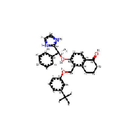 CC(C)(C)c1cccc(OCc2c(O[C@@](C)(c3ccccc3)c3ncc[nH]3)ccc3c2CCCC3=O)c1